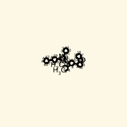 C=Cc1c(/C=C\C)c2cc(-c3cccc4oc5ccccc5c34)ccc2n1-c1nc(-c2ccccc2)nc(-c2ccc(-c3ccccc3)cc2)n1